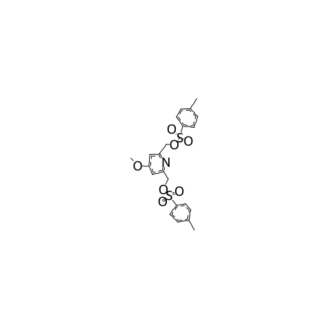 COc1cc(COS(=O)(=O)c2ccc(C)cc2)nc(COS(=O)(=O)c2ccc(C)cc2)c1